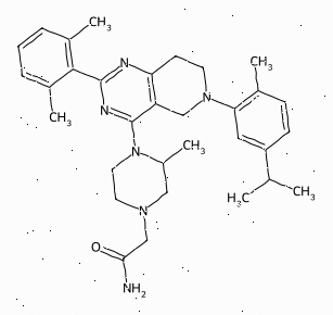 Cc1ccc(C(C)C)cc1N1CCc2nc(-c3c(C)cccc3C)nc(N3CCN(CC(N)=O)CC3C)c2C1